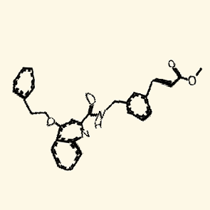 COC(=O)/C=C/c1cccc(CNC(=O)c2cc(OCCc3ccccc3)c3ccccc3n2)c1